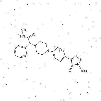 CCCCn1ncn(-c2ccc(N3CCC(C(C(=O)NCCC)c4ccccc4)CC3)cc2)c1=O